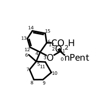 CCCCCC(=O)OC1(C2(C)CCCCC2)C=CC=CC1C(=O)O